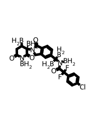 BC1CC(=O)N(B)C(=O)[C@@]1(B)N1Cc2cc(C(B)(B)N(B)C(=O)C(F)(F)c3ccc(Cl)cc3)ccc2C1=O